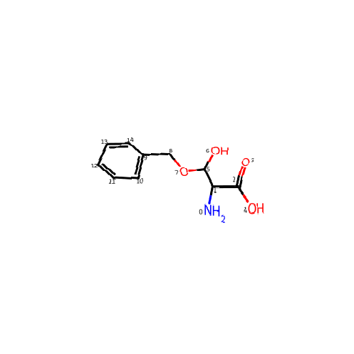 NC(C(=O)O)C(O)OCc1ccccc1